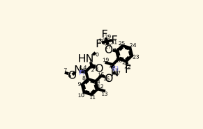 CNC(=O)/C(=N/OC)c1cccc(C)c1CO/N=C(\C)c1c(F)cccc1OC(F)(F)F